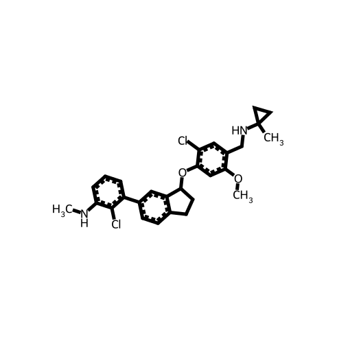 CNc1cccc(-c2ccc3c(c2)C(Oc2cc(OC)c(CNC4(C)CC4)cc2Cl)CC3)c1Cl